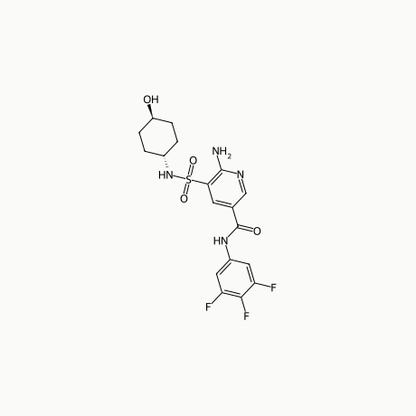 Nc1ncc(C(=O)Nc2cc(F)c(F)c(F)c2)cc1S(=O)(=O)N[C@H]1CC[C@H](O)CC1